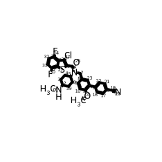 CNC1CCC(N(Cc2ccc(OC)c(-c3ccc(C#N)cc3)c2)C(=O)c2sc3c(F)ccc(F)c3c2Cl)CC1